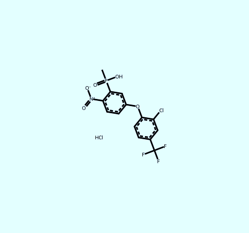 CP(=O)(O)c1cc(Oc2ccc(C(F)(F)F)cc2Cl)ccc1[N+](=O)[O-].Cl